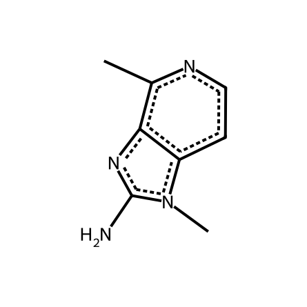 Cc1nccc2c1nc(N)n2C